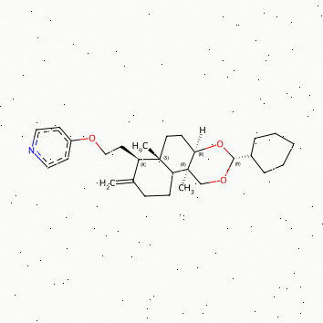 C=C1CCC2[C@]3(C)CO[C@@H](C4CCCCC4)O[C@@H]3CC[C@@]2(C)[C@@H]1CCOc1ccncc1